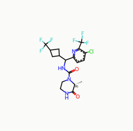 C[C@@H]1C(=O)NCCN1C(=O)NC(c1ccc(Cl)c(C(F)(F)F)n1)C1CC(C(F)(F)F)C1